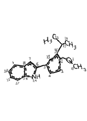 COc1ccc(-c2cc3ccccc3[nH]2)cc1C(C)C